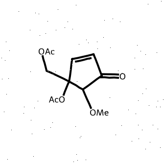 COC1C(=O)C=CC1(COC(C)=O)OC(C)=O